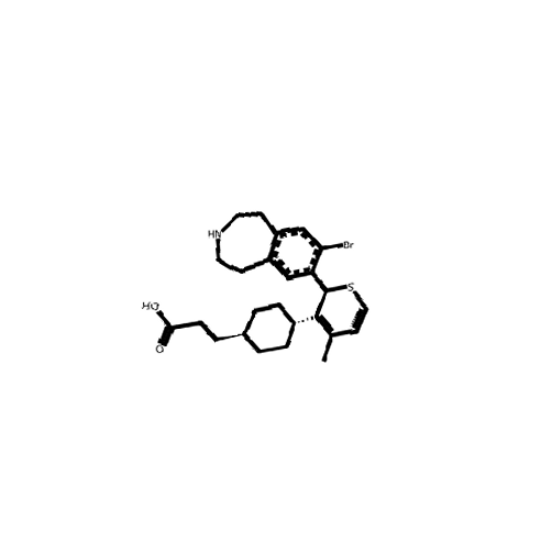 CC1=C([C@H]2CC[C@H](CCC(=O)O)CC2)C(c2cc3c(cc2Br)CCNCC3)SC=C1